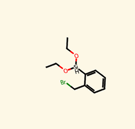 CCO[SiH](OCC)c1ccccc1CBr